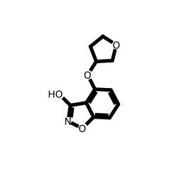 Oc1noc2cccc(OC3CCOC3)c12